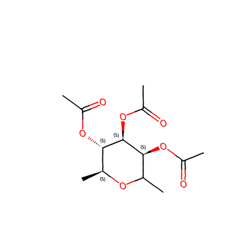 CC(=O)O[C@@H]1[C@@H](OC(C)=O)[C@@H](OC(C)=O)C(C)O[C@H]1C